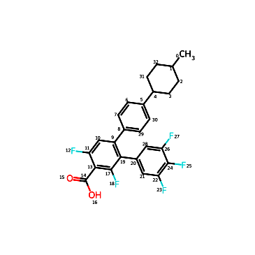 CC1CCC(c2ccc(-c3cc(F)c(C(=O)O)c(F)c3-c3cc(F)c(F)c(F)c3)cc2)CC1